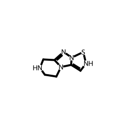 C1=C2N(N=C3CNCCN23)SN1